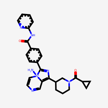 N[N+]12C=CN=CC1=C(C1CCCN(C(=O)C3CC3)C1)N=C2c1ccc(C(=O)Nc2ccccn2)cc1